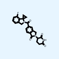 O=C1CCC(N2Cc3cc(C(=O)N4Cc5cccc(F)c5C45CC5)ccc3C2=O)C(=O)N1